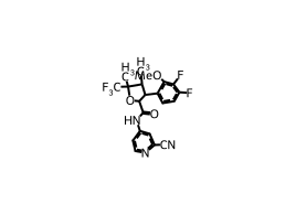 COc1c(C2C(C(=O)Nc3ccnc(C#N)c3)OC(C)(C(F)(F)F)C2C)ccc(F)c1F